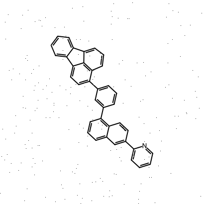 c1ccc(-c2ccc3c(-c4cccc(-c5ccc6c7c(cccc57)-c5ccccc5-6)c4)cccc3c2)nc1